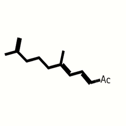 C=C(C)CCC/C(C)=C/C=C/C(C)=O